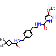 CCOc1cc(C(=O)NCCc2ccc(CNC(=O)C3CC(CC)(CC)C3)cc2)n[nH]1